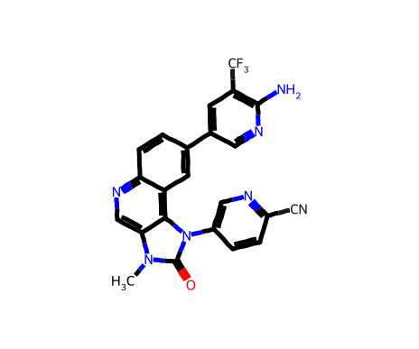 Cn1c(=O)n(-c2ccc(C#N)nc2)c2c3cc(-c4cnc(N)c(C(F)(F)F)c4)ccc3ncc21